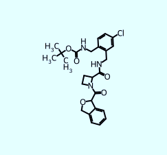 CC(C)(C)OC(=O)NCc1ccc(Cl)cc1CNC(=O)C1CCN1C(=O)C1OCc2ccccc21